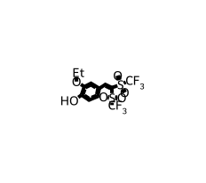 CCOc1cc(C=C(S(=O)(=O)C(F)(F)F)S(=O)(=O)C(F)(F)F)ccc1O